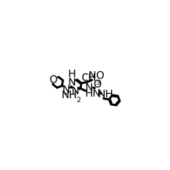 CC1(CN=O)C2=CNC(N(N)C3CCOCC3)N=C2CN1C(=O)NNCc1ccccc1